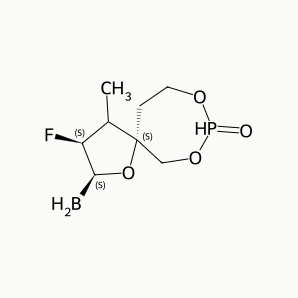 B[C@@H]1O[C@@]2(CCO[PH](=O)OC2)C(C)[C@@H]1F